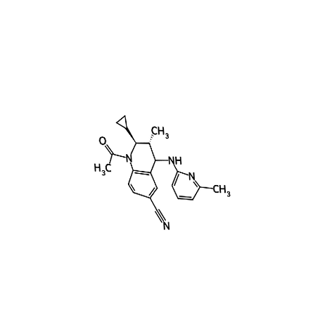 CC(=O)N1c2ccc(C#N)cc2C(Nc2cccc(C)n2)[C@@H](C)[C@@H]1C1CC1